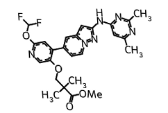 COC(=O)C(C)(C)COc1cnc(OC(F)F)cc1-c1ccn2nc(Nc3cc(C)nc(C)n3)cc2c1